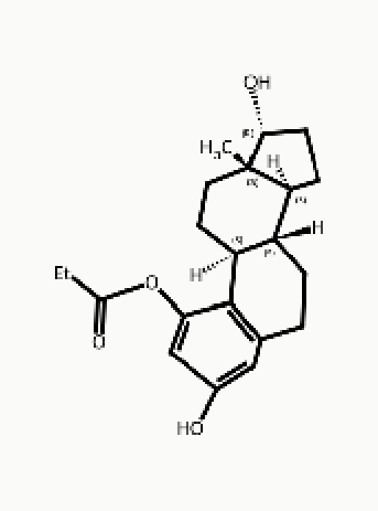 CCC(=O)Oc1cc(O)cc2c1[C@H]1CC[C@]3(C)[C@H](O)CC[C@H]3[C@@H]1CC2